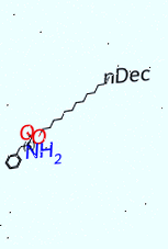 CCCCCCCCCCCCCCCCCCCCCCOC(=O)[C@@H](N)Cc1ccccc1